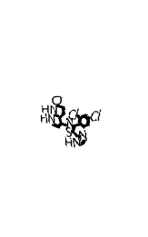 O=C1C=CC2=C(c3nc(-c4ccc(Cl)cc4Cl)c(-c4ncc[nH]4)s3)C=CNC2N1